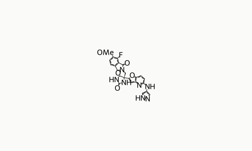 COc1ccc2c(c1F)C(=O)N(C[C@@]1(c3cc4nc(Nc5cn[nH]c5)ccc4o3)NC(=O)NC1=O)C2